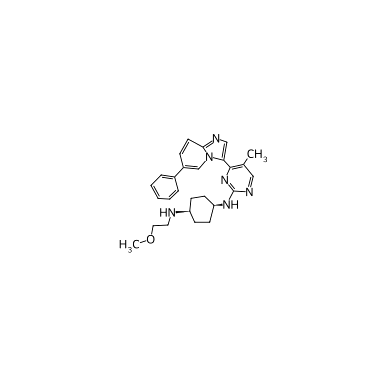 COCCN[C@H]1CC[C@@H](Nc2ncc(C)c(-c3cnc4ccc(-c5ccccc5)cn34)n2)CC1